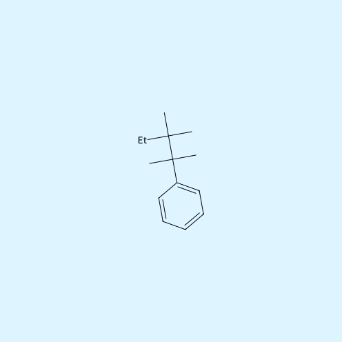 CCC(C)(C)C(C)(C)c1ccccc1